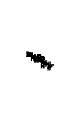 CN(C)CCCNC(=O)NC(=O)NCCCN(C)C